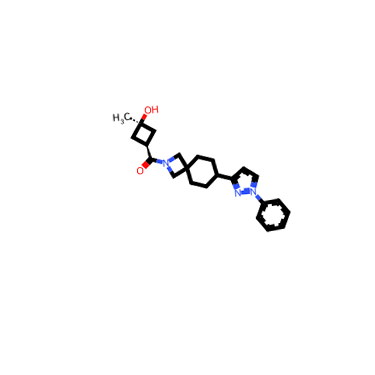 C[C@]1(O)C[C@@H](C(=O)N2CC3(CCC(c4ccn(-c5ccccc5)n4)CC3)C2)C1